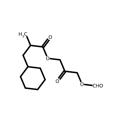 CC(CC1CCCCC1)C(=O)OCC(=O)COC=O